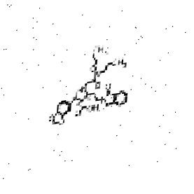 CCCON(CCC)C(=O)CN1C[C@H](c2ccc3c(c2)OCO3)[C@@H](C(=O)O)[C@@H]1CCN1Cc2ccccc2C1=O